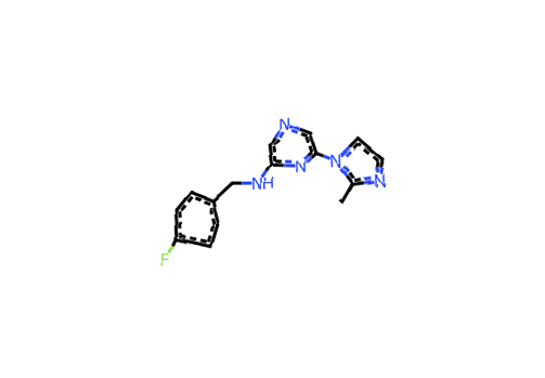 Cc1nccn1-c1cncc(NCc2ccc(F)cc2)n1